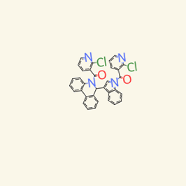 O=C(c1cccnc1Cl)N1c2ccccc2-c2ccccc2C1c1cn(C(=O)c2cccnc2Cl)c2ccccc12